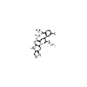 COc1cn(C(CC2=NOCC2)C(=O)O)c(=O)cc1-c1cc(Cl)ccc1C(C)C